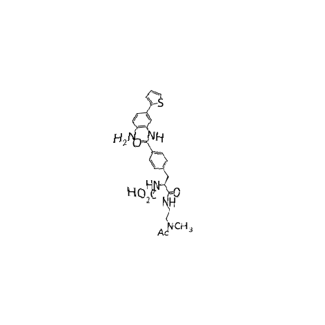 CC(=O)N(C)CCNC(=O)[C@H](Cc1ccc(C(=O)Nc2cc(-c3cccs3)ccc2N)cc1)NC(=O)O